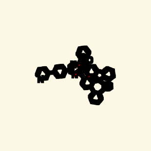 O=S1(=O)c2ccccc2-c2cc3c(cc21)-c1ccccc1C31c2ccccc2-c2ccccc2-c2ccc(-c3nc(-c4ccccc4)nc(-c4ccc(-c5cccnc5)cc4)n3)cc21